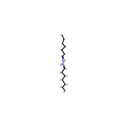 CCCCCCC=NN=CCCCCCC